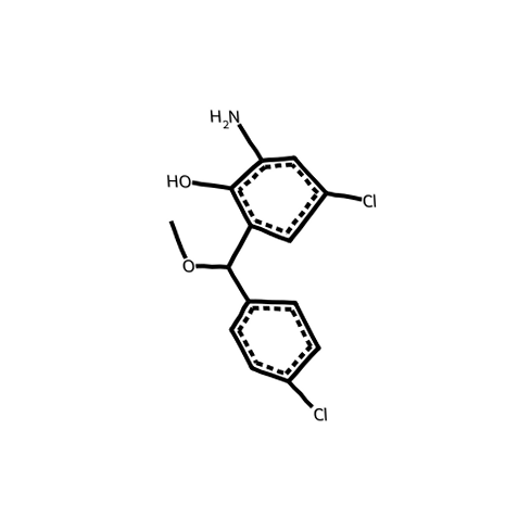 COC(c1ccc(Cl)cc1)c1cc(Cl)cc(N)c1O